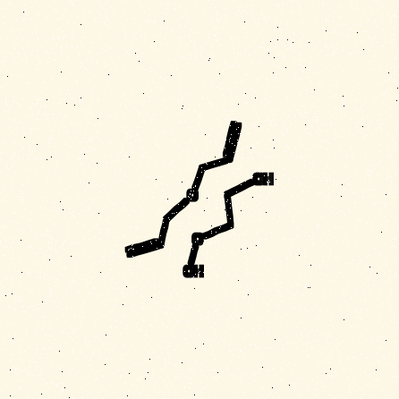 C=CCOCC=C.OCCOO